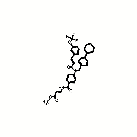 COC(=O)CCNC(=O)c1ccc(N(Cc2ccc(C3=CCCCC3)cc2)C(=O)C=Cc2cccc(OC(F)(F)F)c2)cc1